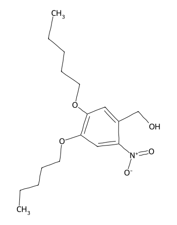 CCCCCOc1cc(CO)c([N+](=O)[O-])cc1OCCCCC